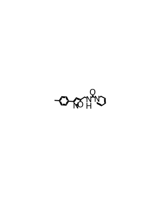 Cc1ccc(-c2cc(CNC(=O)N3C=CC=CC3)on2)cc1